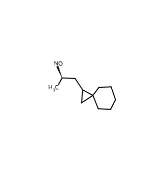 C[C@H](CC1CC12CCCCC2)N=O